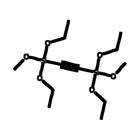 CCO[Si](C#C[Si](OC)(OCC)OCC)(OC)OCC